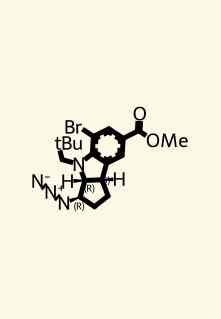 COC(=O)c1cc(Br)c2c(c1)[C@@H]1CC[C@@H](N=[N+]=[N-])[C@@H]1N2CC(C)(C)C